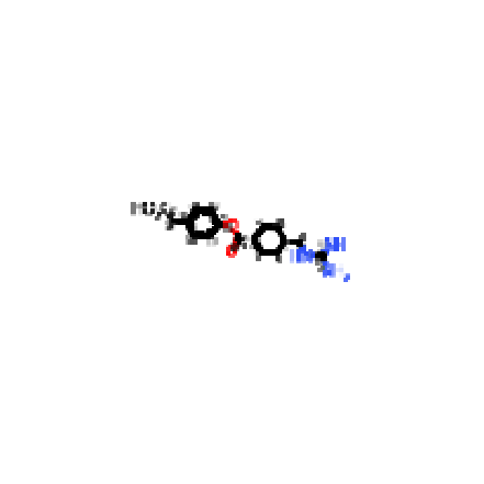 N=C(N)NC[C@H]1CC[C@H](C(=O)Oc2ccc(CC(=O)O)cc2)CC1